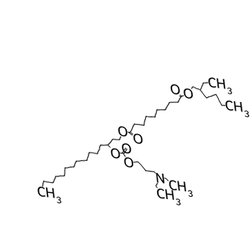 CCCCCCCCCCCCC(CCOC(=O)CCCCCCCCC(=O)OCC(CC)CCCC)OC(=O)OCCCN(CC)CC